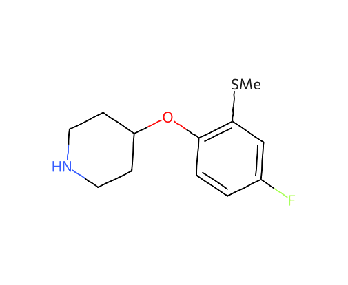 CSc1cc(F)ccc1OC1CCNCC1